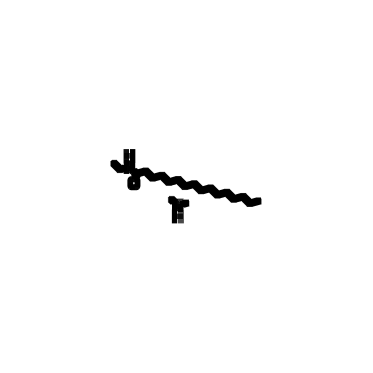 CCCCCCCCCCCCCCCC(=O)NCC.CNC